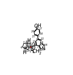 C=CC(=O)N1[C@@H]2CC[C@H]1CC(Oc1cc(-c3ccc(O)cc3)cn3cncc13)C2